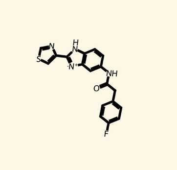 O=C(Cc1ccc(F)cc1)Nc1ccc2c(c1)[N+]=C(c1cscn1)N2